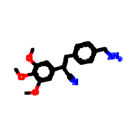 COc1cc(/C(C#N)=C/c2ccc(CN)cc2)cc(OC)c1OC